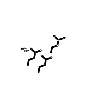 CCOP([O-])[O-].CCOP([O-])[O-].CCOP([O-])[O-].[Fe+3].[Fe+3]